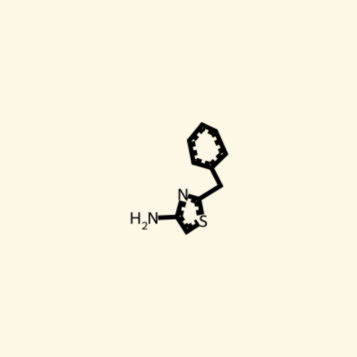 Nc1csc(Cc2ccccc2)n1